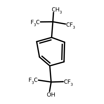 CC(c1ccc(C(O)(C(F)(F)F)C(F)(F)F)cc1)(C(F)(F)F)C(F)(F)F